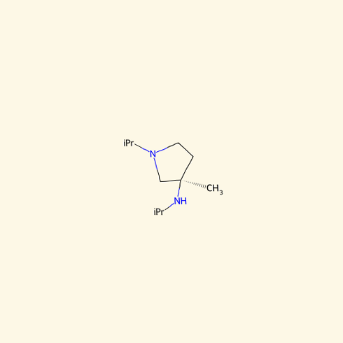 CC(C)N[C@]1(C)CCN(C(C)C)C1